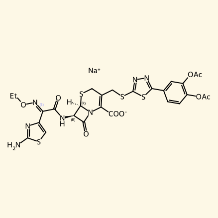 CCO/N=C(/C(=O)N[C@@H]1C(=O)N2C(C(=O)[O-])=C(CSc3nnc(-c4ccc(OC(C)=O)c(OC(C)=O)c4)s3)CS[C@H]12)c1csc(N)n1.[Na+]